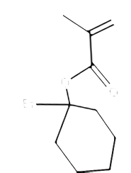 C=C(C)C(=O)OC1(CC)CCCCC1